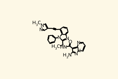 CC(NC(=O)c1c(N)nn2cccnc12)c1nc2cccc(C#Cc3cnn(C)c3)c2n1-c1ccccc1